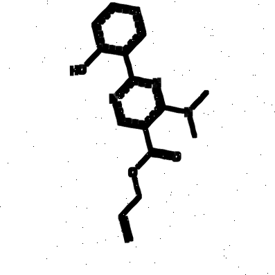 C=CCOC(=O)c1cnc(-c2ccccc2O)nc1N(C)C